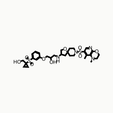 Cc1c(S(=O)(=O)N2CCC3(CC2)CC(NCC(O)COc2cccc(S(=O)(=O)C4(CO)CC4)c2)CO3)cnc2c1N(C)CCO2